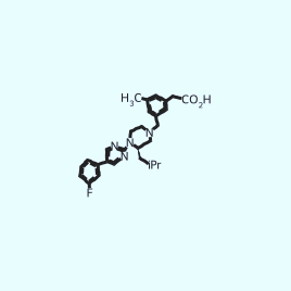 Cc1cc(CC(=O)O)cc(CN2CCN(c3ncc(-c4cccc(F)c4)cn3)[C@H](CC(C)C)C2)c1